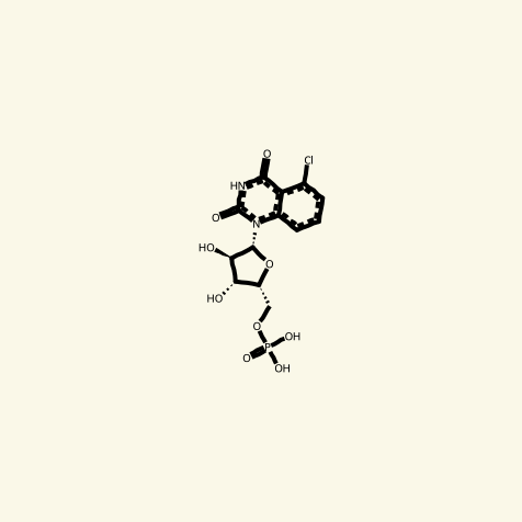 O=c1[nH]c(=O)n([C@@H]2O[C@H](COP(=O)(O)O)[C@H](O)[C@H]2O)c2cccc(Cl)c12